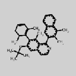 CC1=C(c2c(OC(C)(C)C)cc3ccnc(-c4cc5ccccc5c(C)c4C)c3c2C)C(C)CC=C1